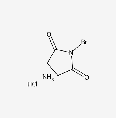 Cl.N.O=C1CCC(=O)N1Br